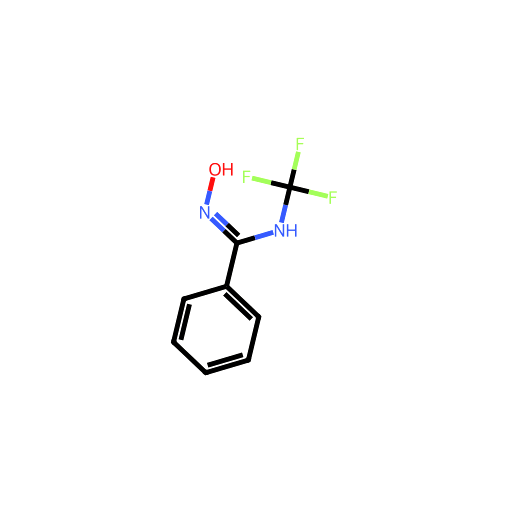 ON=C(NC(F)(F)F)c1ccccc1